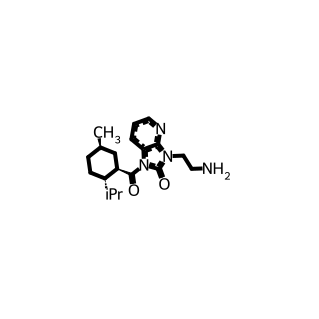 CC(C)[C@@H]1CC[C@@H](C)C[C@H]1C(=O)n1c(=O)n(CCN)c2ncccc21